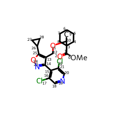 COC(=O)C12CCC(CC1)CC2OCc1c(-c2c(Cl)cncc2Cl)noc1C1CC1